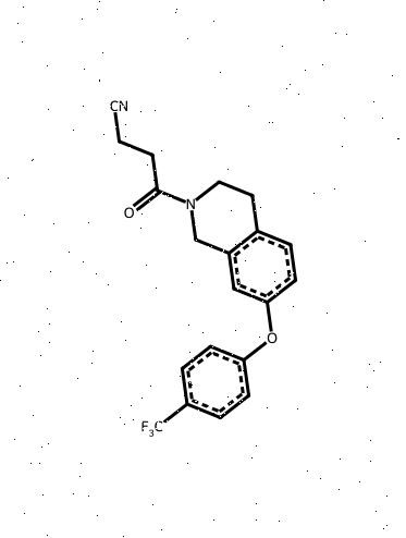 N#CCCC(=O)N1CCc2ccc(Oc3ccc(C(F)(F)F)cc3)cc2C1